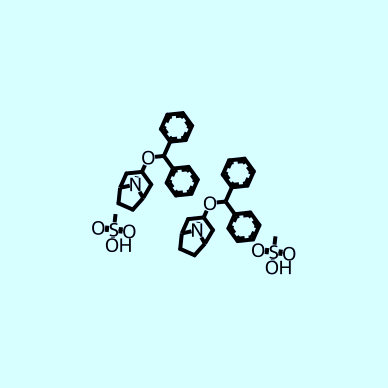 CN1C2CCC1CC(OC(c1ccccc1)c1ccccc1)C2.CN1C2CCC1CC(OC(c1ccccc1)c1ccccc1)C2.CS(=O)(=O)O.CS(=O)(=O)O